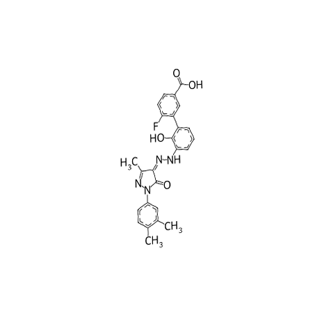 CC1=NN(c2ccc(C)c(C)c2)C(=O)C1=NNc1cccc(-c2cc(C(=O)O)ccc2F)c1O